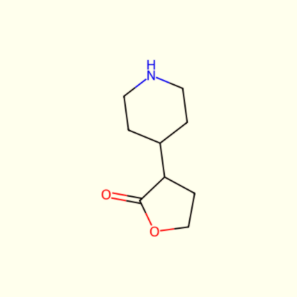 O=C1OCCC1C1CCNCC1